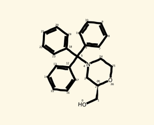 OC[C@H]1CN(C(c2ccccc2)(c2ccccc2)c2ccccc2)CCO1